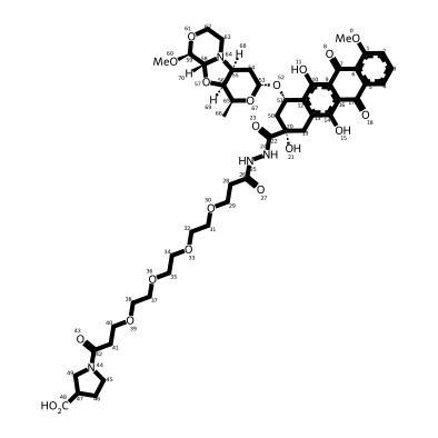 COc1cccc2c1C(=O)c1c(O)c3c(c(O)c1C2=O)C[C@@](O)(C(=O)NNC(=O)CCOCCOCCOCCOCCC(=O)N1CCC(C(=O)O)C1)C[C@@H]3O[C@H]1C[C@H]2[C@H](O[C@@H]3[C@@H](OC)OCCN32)[C@H](C)O1